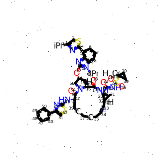 CC(C)c1csc(-c2cccc3c2nc(O[C@@H]2C[C@H]4C(=O)N[C@]5(C(=O)NS(=O)(=O)C6(C)CC6)C[C@H]5/C=C\CCCCC[C@H](Nc5nc(-c6ccccc6)cs5)C(=O)N4C2)n3C(C)C)n1